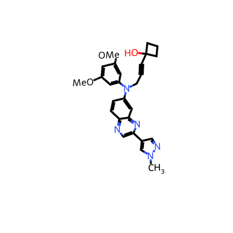 COc1cc(OC)cc(N(CC#CC2(O)CCC2)c2ccc3ncc(-c4cnn(C)c4)nc3c2)c1